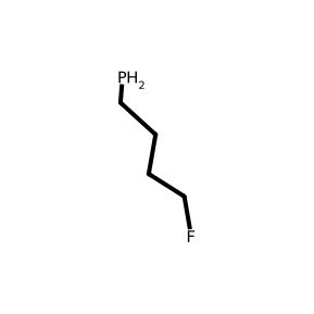 FCCCCP